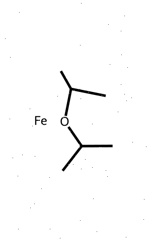 CC(C)OC(C)C.[Fe]